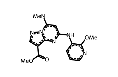 CNc1cc(Nc2cccnc2OC)nc2c(C(=O)OC)cnn12